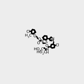 Cc1c(Cl)cccc1OCCOC(=O)N1CCSc2c(-c3cnn(Cc4cc(C(=O)NC(CC(=O)O)C(=O)O)ccc4Cl)c3)cccc21